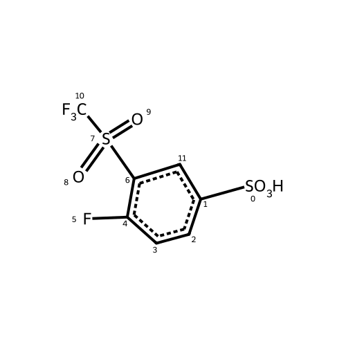 O=S(=O)(O)c1ccc(F)c(S(=O)(=O)C(F)(F)F)c1